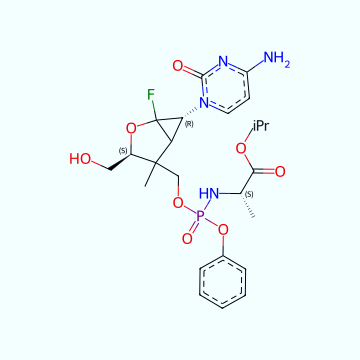 CC(C)OC(=O)[C@H](C)NP(=O)(OCC1(C)C2[C@@H](n3ccc(N)nc3=O)C2(F)O[C@@H]1CO)Oc1ccccc1